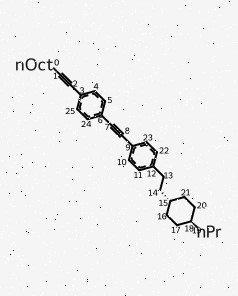 CCCCCCCCC#Cc1ccc(C#Cc2ccc(CC[C@H]3CC[C@H](CCC)CC3)cc2)cc1